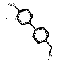 COc1ccc(-c2ccc(CC(C)C)cc2)cn1